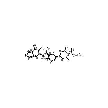 Cc1c(-c2[nH]c3ccc(C4CC(C)N(C(=O)OC(C)(C)C)C(C)C4)cc3c2C(C)C)cn2cnnc2c1C